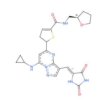 O=C1NC(=O)/C(=C/c2cnn3c(NC4CC4)cc(C4CC=C(C(=O)NC[C@H]5CCCO5)S4)nc23)N1